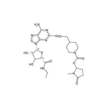 CCNC(=O)[C@H]1O[C@@H](n2cnc3c(N)nc(C#CCC4CCN(C(=O)OC5CCC(=O)N5C)CC4)nc32)[C@@H](O)C1O